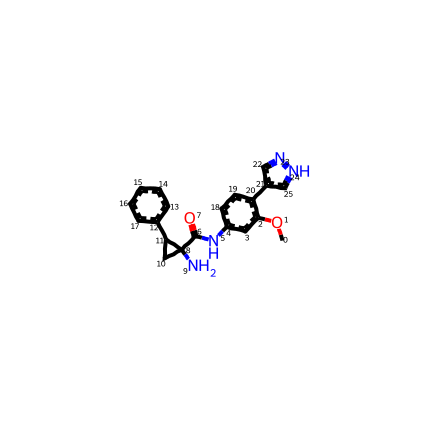 COc1cc(NC(=O)C2(N)CC2c2ccccc2)ccc1-c1cn[nH]c1